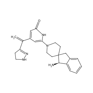 C=C(C1=NNCC1)c1cc(N2CCC3(CC2)Cc2ccccc2[C@H]3N)[nH]c(=O)c1